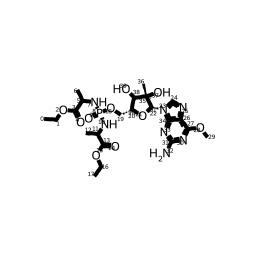 CCOC(=O)C(C)NP(=O)(NC(C)C(=O)OCC)OC[C@H]1O[C@@H](n2cnc3c(OC)nc(N)nc32)[C@@](C)(O)C1O